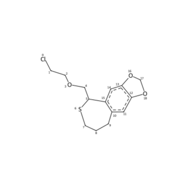 ClCCOCC1SCCCc2cc3c(cc21)OCO3